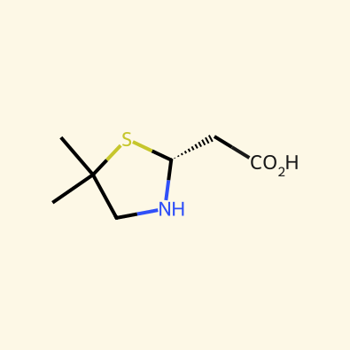 CC1(C)CN[C@@H](CC(=O)O)S1